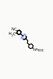 CCCCCC1CCC(CCc2cnc(-c3ccc(C#N)c(C)c3)nc2)CC1